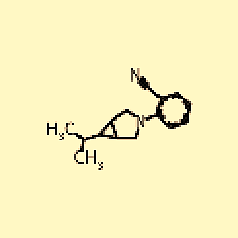 CC(C)C1C2CN(c3ccccc3C#N)CC21